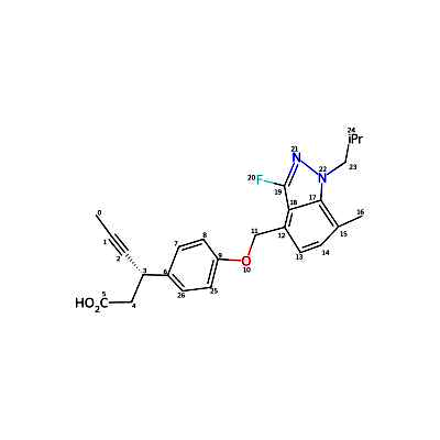 CC#C[C@@H](CC(=O)O)c1ccc(OCc2ccc(C)c3c2c(F)nn3CC(C)C)cc1